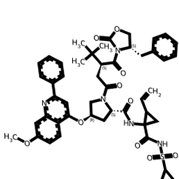 C=CC1CC1(NC(=O)[C@@H]1C[C@@H](Oc2cc(-c3ccccc3)nc3cc(OC)ccc23)CN1C(=O)C[C@H](C(=O)N1C(=O)OC[C@@H]1Cc1ccccc1)C(C)(C)C)C(=O)NS(=O)(=O)C1CC1